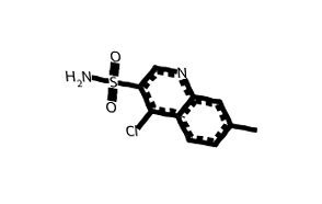 Cc1ccc2c(Cl)c(S(N)(=O)=O)cnc2c1